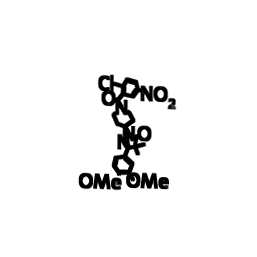 COc1ccc(C2=NN(C3CCN(C(=O)c4cc([N+](=O)[O-])ccc4Cl)CC3)C(=O)C2(C)C)cc1OC